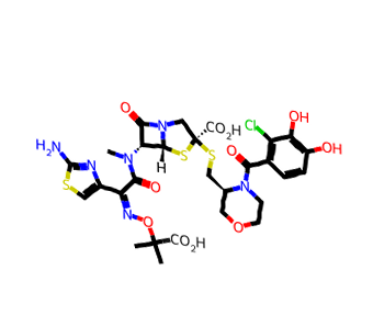 CN(C(=O)/C(=N\OC(C)(C)C(=O)O)c1csc(N)n1)[C@@H]1C(=O)N2C[C@](SC[C@@H]3COCCN3C(=O)c3ccc(O)c(O)c3Cl)(C(=O)O)S[C@H]12